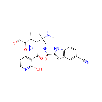 CNC(C)(C)C(C(C)C(=O)C=O)C(N)(NC(=O)c1cc2cc(C#N)ccc2[nH]1)C(=O)c1cccnc1O